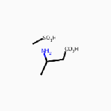 CC(N)CC(=O)O.CS(=O)(=O)O